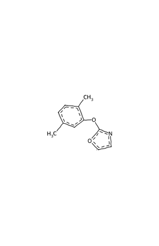 Cc1ccc(C)c(Oc2nc[c]o2)c1